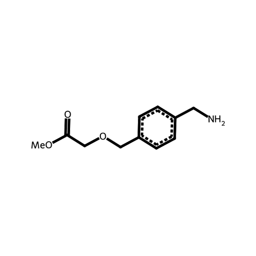 COC(=O)COCc1ccc(CN)cc1